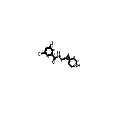 O=C(NCC1CC12CCNCC2)c1cc(Cl)cc(Cl)c1